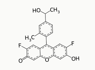 Cc1cc(C(C)O)ccc1-c1c2cc(F)c(=O)cc-2oc2cc(O)c(F)cc12